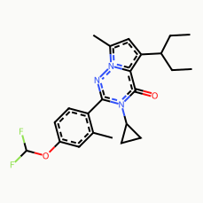 CCC(CC)c1cc(C)n2nc(-c3ccc(OC(F)F)cc3C)n(C3CC3)c(=O)c12